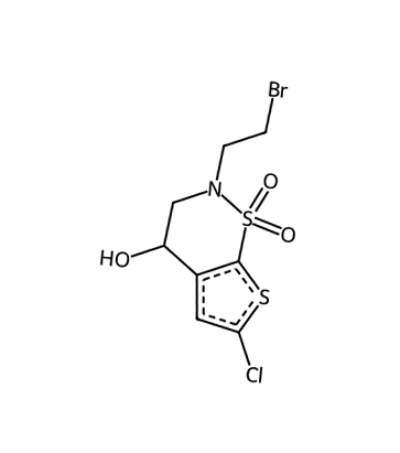 O=S1(=O)c2sc(Cl)cc2C(O)CN1CCBr